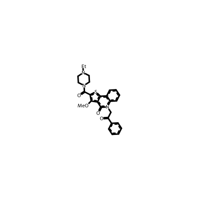 CCN1CCN(C(=O)c2sc3c(c2OC)c(=O)n(CC(=O)c2ccccc2)c2ccccc32)CC1